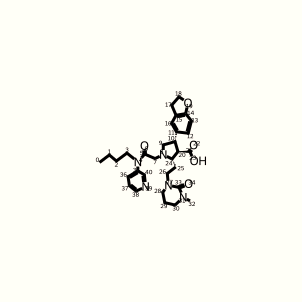 CCCCN(C(=O)CN1C[C@H](c2ccc3c(c2)CCO3)[C@@H](C(=O)O)[C@@H]1CCN1CCCN(C)C1=O)c1cccnc1